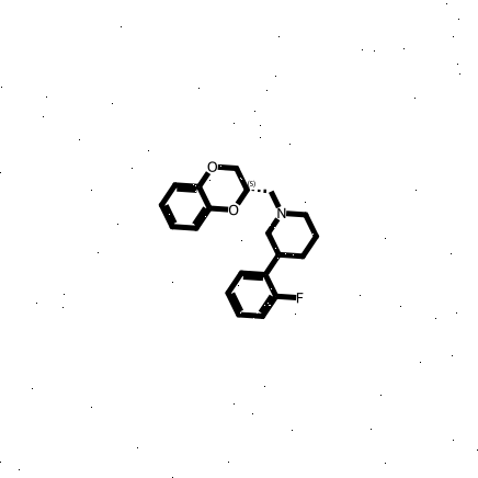 Fc1ccccc1C1CCCN(C[C@H]2COc3ccccc3O2)C1